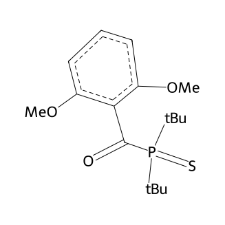 COc1cccc(OC)c1C(=O)P(=S)(C(C)(C)C)C(C)(C)C